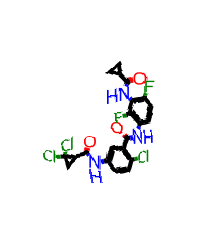 O=C(Nc1ccc(F)c(NC(=O)C2CC2)c1F)c1cc(NC(=O)C2CC2(Cl)Cl)ccc1Cl